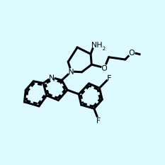 COCCOC1CN(c2nc3ccccc3cc2-c2cc(F)cc(F)c2)CCC1N